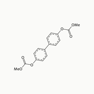 COC(=O)Oc1ccc(-c2ccc(OC(=O)OC)cc2)cc1